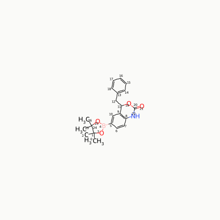 CC1(C)OB(c2ccc3c(c2)C(Cc2ccccc2)OC(=O)N3)OC1(C)C